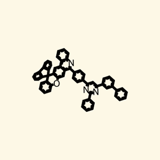 c1ccc(-c2cccc(-c3cc(-c4ccc(-c5nc6ccccc6c6cc7c(cc56)Oc5ccccc5C75c6ccccc6-c6ccccc65)cc4)nc(-c4ccccc4)n3)c2)cc1